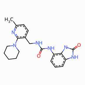 Cc1ccc(CNC(=O)Nc2cccc3c2[N]C(=O)N3)c(N2CCCCC2)n1